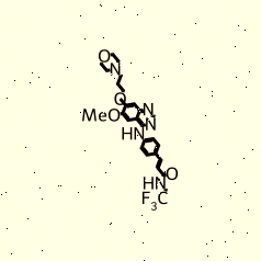 COc1cc2c(Nc3ccc(/C=C/C(=O)NCC(F)(F)F)cc3)ncnc2cc1OCCCN1CCOCC1